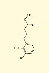 COC(=O)CCCc1cccc(Br)c1O